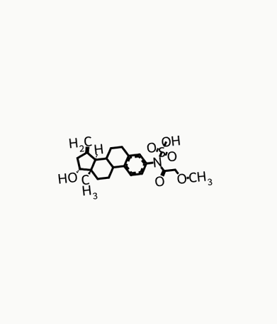 C=C1C[C@@H](O)[C@@]2(C)CCC3c4ccc(N(C(=O)COC)S(=O)(=O)O)cc4CCC3[C@H]12